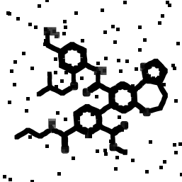 CCCNC(=O)c1ccc(-c2cc3c(cc2C(=O)Nc2ccc(CN)cc2OCC(C)C)-c2sccc2CCO3)c(C(=O)OC)n1